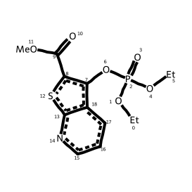 CCOP(=O)(OCC)Oc1c(C(=O)OC)sc2ncccc12